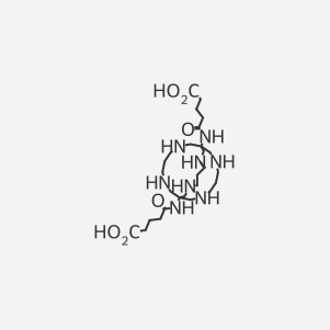 O=C(O)CCCC(=O)NC12CNCCCNCC(NC(=O)CCCC(=O)O)(CNCCCNC1)CNCCCNC2